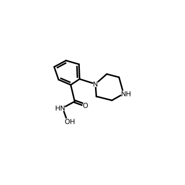 O=C(NO)c1ccccc1N1CCNCC1